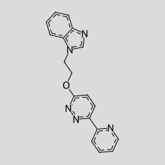 c1ccc(-c2ccc(OCCn3cnc4ccccc43)nn2)nc1